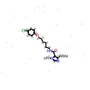 CCCn1cnc(NC)c1C(=O)NCCCCCCOc1ccc(Cl)cc1